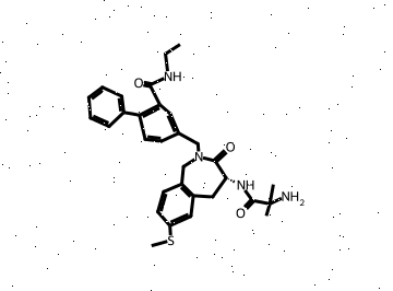 CCNC(=O)c1cc(CN2Cc3ccc(SC)cc3C[C@@H](NC(=O)C(C)(C)N)C2=O)ccc1-c1ccccc1